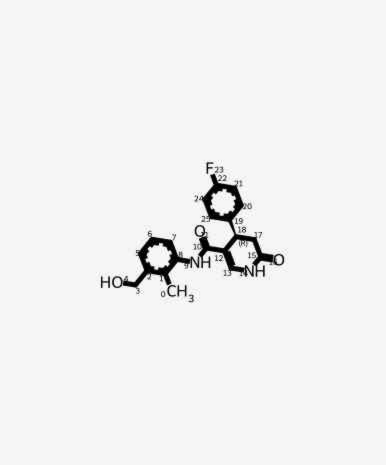 Cc1c(CO)cccc1NC(=O)C1=CNC(=O)C[C@@H]1c1ccc(F)cc1